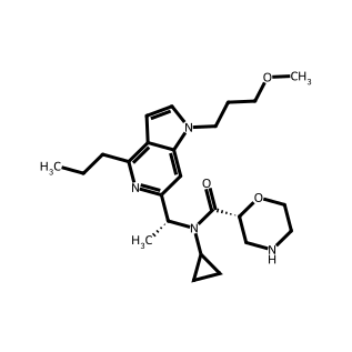 CCCc1nc([C@@H](C)N(C(=O)[C@H]2CNCCO2)C2CC2)cc2c1ccn2CCCOC